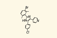 Cc1ccc(Br)c(C)c1-c1nc(-c2ccncc2)c(-c2ccc(Cl)cc2)[nH]1